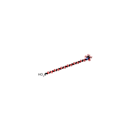 O=C(O)CCOCCOCCOCCOCCOCCOCCOCCOCCOCCOCCOCCOCCN1C(=O)C(Br)C(Br)C1=O